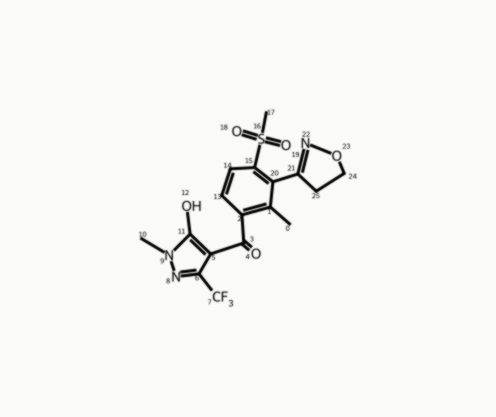 Cc1c(C(=O)c2c(C(F)(F)F)nn(C)c2O)ccc(S(C)(=O)=O)c1C1=NOCC1